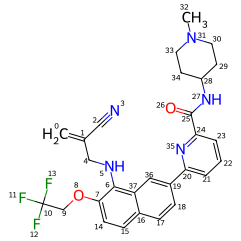 C=C(C#N)CNc1c(OCC(F)(F)F)ccc2ccc(-c3cccc(C(=O)NC4CCN(C)CC4)n3)cc12